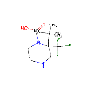 CC(C)(C)C1(C(F)(F)F)CNCCN1C(=O)O